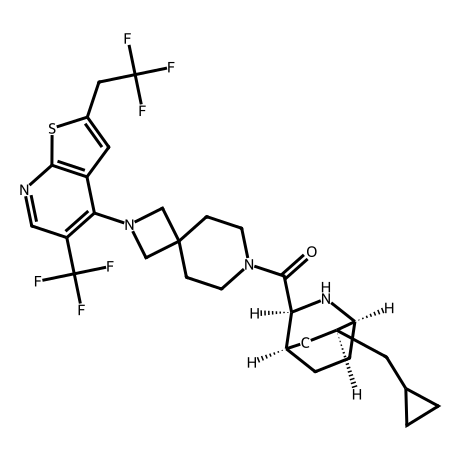 O=C([C@H]1N[C@H]2CC[C@@H]1C[C@@H]2CC1CC1)N1CCC2(CC1)CN(c1c(C(F)(F)F)cnc3sc(CC(F)(F)F)cc13)C2